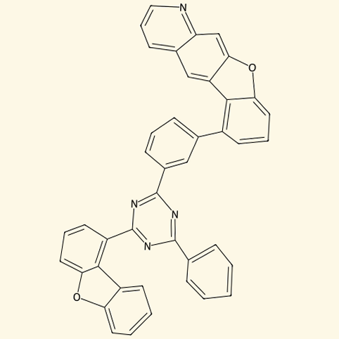 c1ccc(-c2nc(-c3cccc(-c4cccc5oc6cc7ncccc7cc6c45)c3)nc(-c3cccc4oc5ccccc5c34)n2)cc1